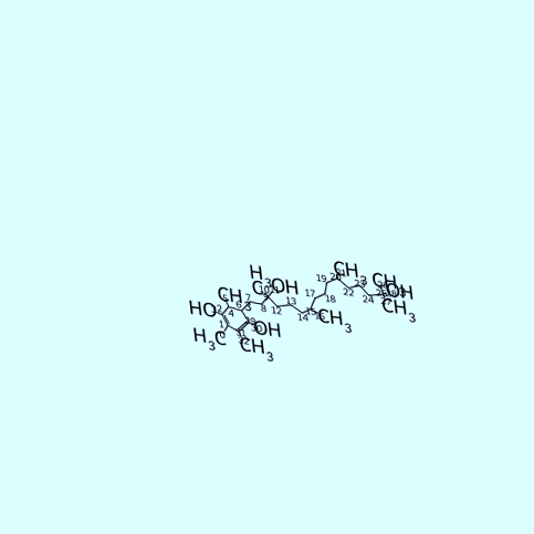 CC1=C(O)C(C)C(CCC(C)(O)CCCC(C)CCCC(C)CCCC(C)(C)O)C(O)=C1C